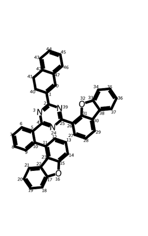 C1=C(c2nc(-c3ccccc3-c3cccc4oc5ccccc5c34)nc(-c3cccc4c3oc3ccccc34)n2)CCc2ccccc21